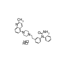 Cc1ccc2c(N3CCN(CCc4cccc(N(C(N)=O)c5ccccc5)c4)CC3)cccc2n1.Cl.Cl